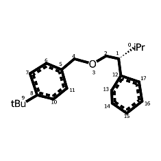 CC(C)[C@@H](COCc1ccc(C(C)(C)C)cc1)c1ccccc1